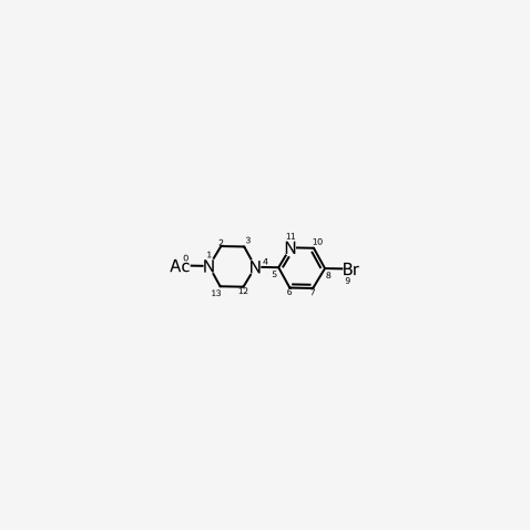 CC(=O)N1CCN(c2ccc(Br)cn2)CC1